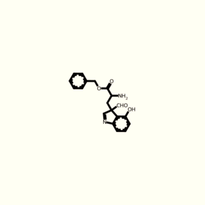 NC(CC1(C=O)C=Nc2cccc(O)c21)C(=O)OCc1ccccc1